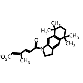 CC(/C=C/C(=O)N1CCc2cc3c(cc21)C(C)(C)CCC3(C)C)=C\C(=O)O